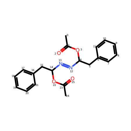 CC(=O)OC(Cc1ccccc1)N=NC(Cc1ccccc1)OC(C)=O